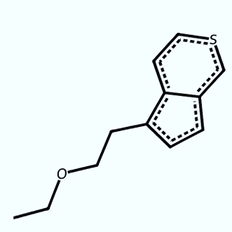 CCOCCc1ccc2csccc1-2